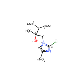 COC(OC)C(C)(O)Cn1cc([N+](=O)[O-])nc1Cl